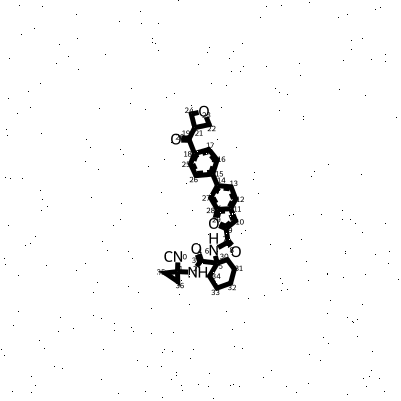 N#CC1(NC(=O)C2(NC(=O)c3cc4ccc(-c5ccc(C(=O)C6COC6)cc5)cc4o3)CCCCC2)CC1